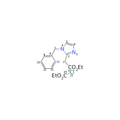 CCOC(=O)Cc1nccn1Cc1ccccc1.CCOC(=O)Cl